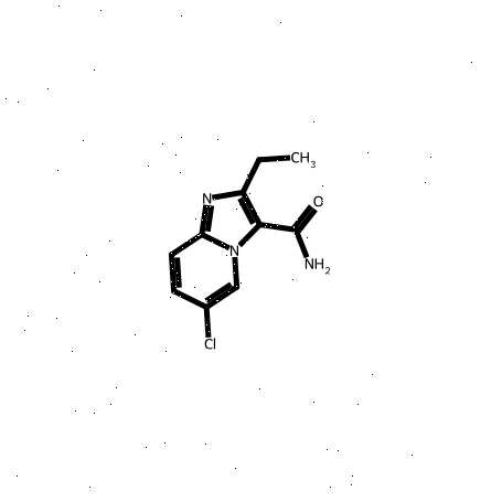 CCc1nc2ccc(Cl)cn2c1C(N)=O